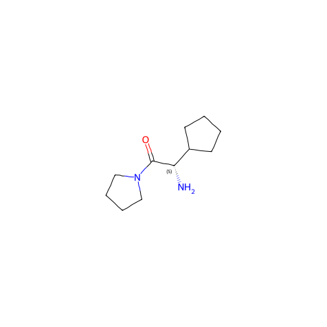 N[C@H](C(=O)N1CCCC1)C1CCCC1